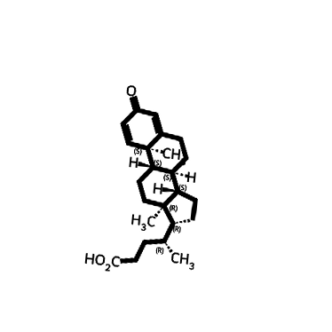 C[C@H](CCC(=O)O)[C@H]1CC[C@H]2[C@@H]3CCC4=CC(=O)C=C[C@]4(C)[C@H]3CC[C@]12C